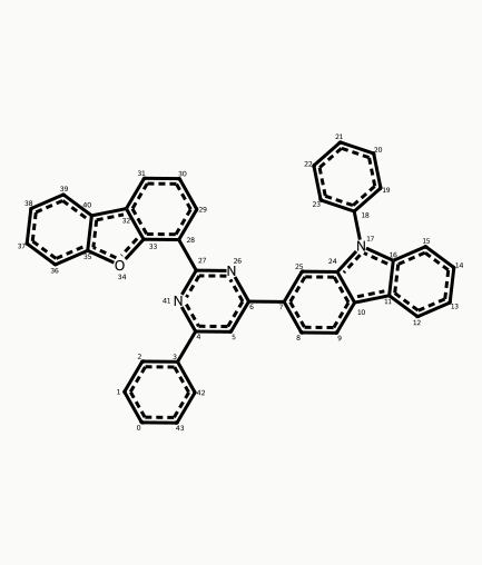 c1ccc(-c2cc(-c3ccc4c5ccccc5n(-c5ccccc5)c4c3)nc(-c3cccc4c3oc3ccccc34)n2)cc1